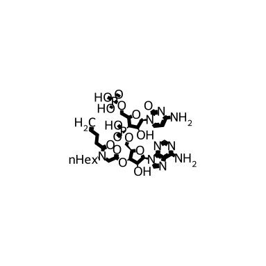 C=CCCC(=O)N(CCCCCC)CC(=O)O[C@H]1[C@@H](O)[C@H](n2cnc3c(N)ncnc32)O[C@@H]1COP(=O)(O)[C@@H]1C(COP(=O)(O)O)O[C@@H](n2ccc(N)nc2=O)[C@@H]1O